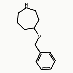 c1ccc(COC2CCCNCC2)cc1